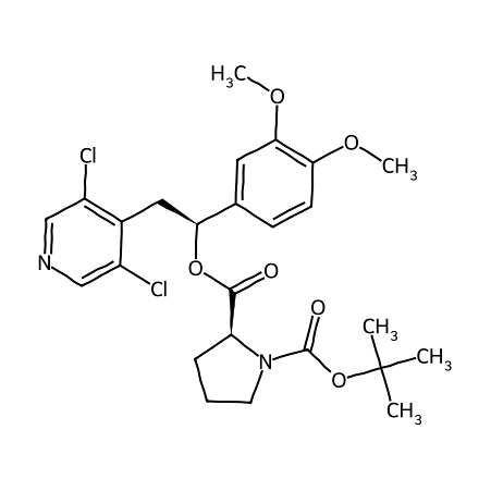 COc1ccc([C@H](Cc2c(Cl)cncc2Cl)OC(=O)[C@@H]2CCCN2C(=O)OC(C)(C)C)cc1OC